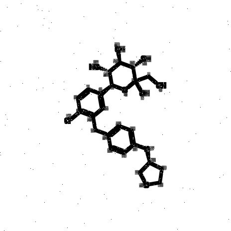 OCC1(O)O[C@@H](c2ccc(Cl)c(Cc3ccc(O[C@H]4CCOC4)cc3)c2)[C@H](O)[C@@H](O)[C@@H]1O